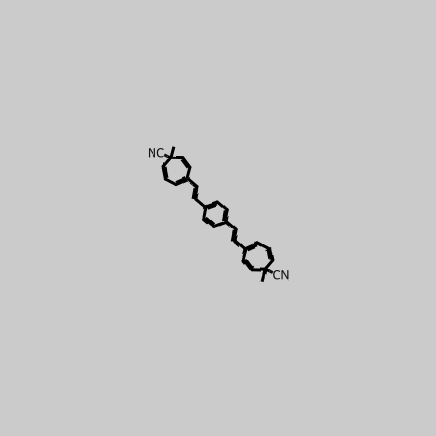 CC1(C#N)C=CC=C(C=Cc2ccc(C=CC3=CC=CC(C)(C#N)C=C3)cc2)C=C1